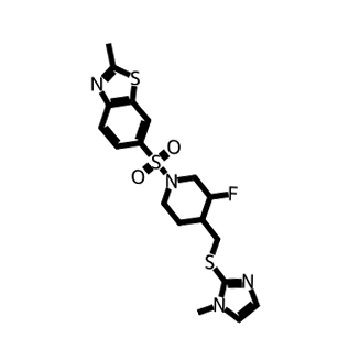 Cc1nc2ccc(S(=O)(=O)N3CCC(CSc4nccn4C)C(F)C3)cc2s1